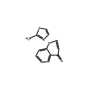 Nc1nccs1.O=c1ccoc2ccccc12